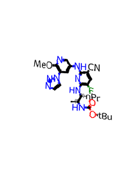 CCC[C@@H](Nc1nc(Nc2cnc(OC)c(-n3ccnn3)c2)c(C#N)cc1F)[C@H](C)NC(=O)OC(C)(C)C